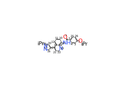 CC(C)Oc1ccc(C(=O)Nc2cccc3c(-c4cnn(C(C)C)c4)ccnc23)cc1